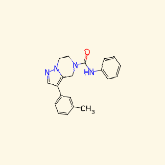 Cc1cccc(-c2cnn3c2CN(C(=O)Nc2ccccc2)CC3)c1